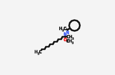 CCCCCCCCCCCCC(C)(/N=N/C(C)C1CCCCCCCCCCC1)OC